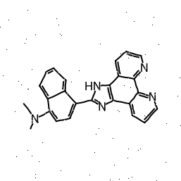 CN(C)c1ccc(-c2nc3c4cccnc4c4ncccc4c3[nH]2)c2ccccc12